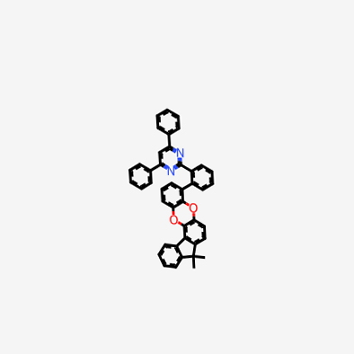 CC1(C)c2ccccc2-c2c1ccc1c2Oc2cccc(-c3ccccc3-c3nc(-c4ccccc4)cc(-c4ccccc4)n3)c2O1